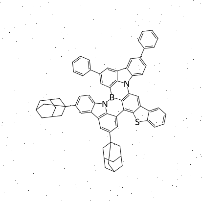 c1ccc(-c2ccc3c(c2)c2cc(-c4ccccc4)cc4c2n3-c2cc3c(sc5ccccc53)c3c2B4n2c4ccc(C56CC7CC(CC(C7)C5)C6)cc4c4cc(C56CC7CC(CC(C7)C5)C6)cc-3c42)cc1